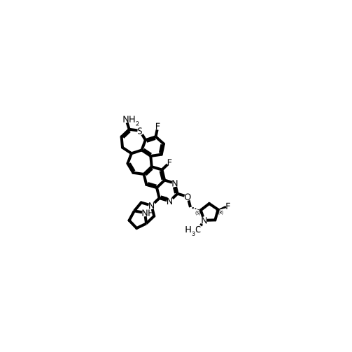 CN1C[C@H](F)C[C@H]1COc1nc(N2CC3CCC(C2)N3)c2cc3c(c(F)c2n1)-c1ccc(F)c2c1C(C=C3)CC=C(N)S2